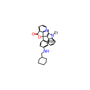 CCn1c(C)c(C2(c3ccc(NCC4CCCCC4)cc3OC)OC(=O)c3cccnc32)c2ccccc21